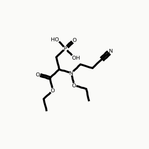 CCOC(=O)C(CP(=O)(O)O)N(CCC#N)OCC